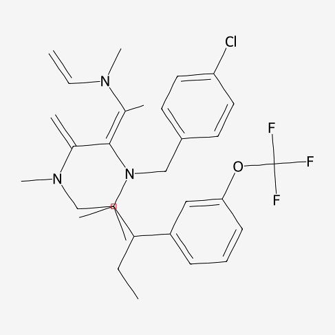 C=CN(C)/C(C)=C(\C(=C)N(C)CCC)N(Cc1ccc(Cl)cc1)C(C)C(CC)c1cccc(OC(F)(F)F)c1